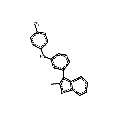 Cc1nc2ccccn2c1-c1cncc(Nc2ccc(C(F)(F)F)cn2)n1